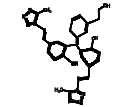 Cc1nnnn1N=Cc1ccc(O)c(C(=C2C=C(CCO)C=CC2)c2cc(C=Nn3nnnc3C)ccc2O)c1